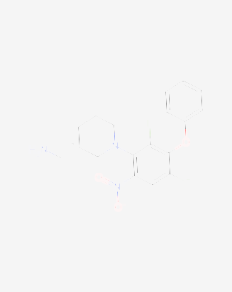 NC[C@@H]1CCCN(c2c([N+](=O)[O-])cc(F)c(Oc3ccccc3)c2F)C1